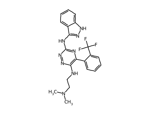 CN(C)CCNc1nnc(Nc2n[nH]c3ccccc23)nc1-c1ccccc1C(F)(F)F